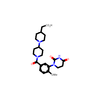 COc1ccc(C(=O)N2CCC(N3CCC(CC(=O)O)CC3)CC2)cc1N1CCC(=O)NC1=O